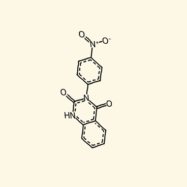 O=c1[nH]c2ccccc2c(=O)n1-c1ccc([N+](=O)[O-])cc1